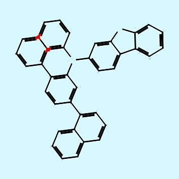 c1ccc(-c2ccc(-c3cccc4ccccc34)cc2N(c2ccccc2)c2ccc3c(c2)sc2ccccc23)cc1